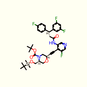 CC(C)(C)OC(=O)N1C[C@@H](C#Cc2c(F)cncc2NC(=O)C[C@H](c2ccc(F)cc2)c2cc(F)cc(F)c2)OC[C@H]1CO[Si](C)(C)C(C)(C)C